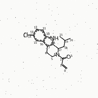 C=CC(=O)N1CCc2c([nH]c3ccc(Cl)cc23)C1CC(C)C